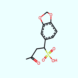 CC(=O)CC(c1ccc2c(c1)OCO2)S(=O)(=O)O